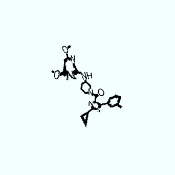 COc1cc(OC)nc(NC2CCCN(C(=O)c3nc(C4CC4)sc3-c3cccc(C)c3)C2)n1